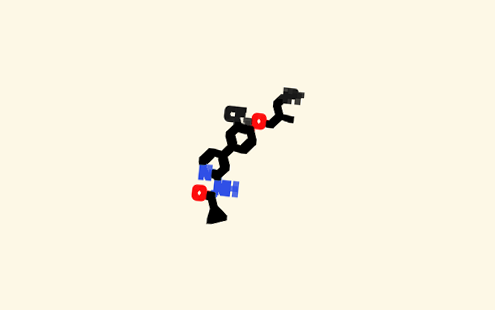 CC(C)C[C@@H](C)COc1ccc(-c2ccnc(NC(=O)C3CC3)c2)cc1C(F)(F)F